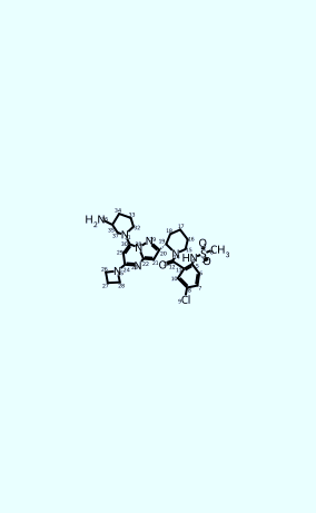 CS(=O)(=O)Nc1ccc(Cl)cc1C(=O)N1CCCC[C@H]1c1cc2nc(N3CCC3)cc(N3CCCC(N)C3)n2n1